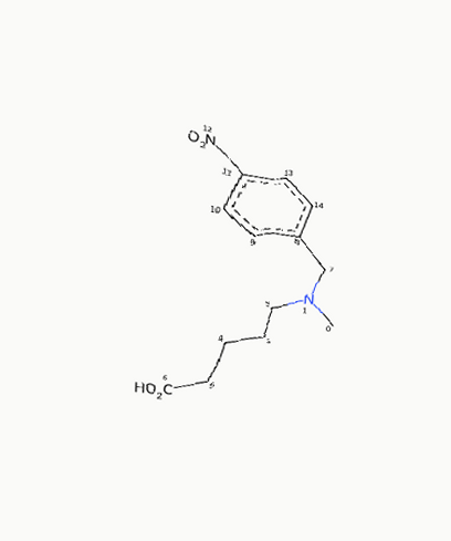 CN(CCCCC(=O)O)Cc1ccc([N+](=O)[O-])cc1